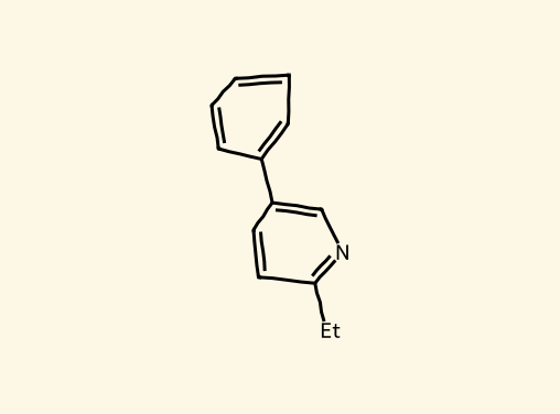 CCc1ccc(-c2ccccc2)cn1